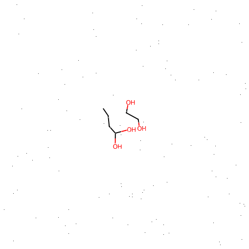 CCCC(O)O.OCCO